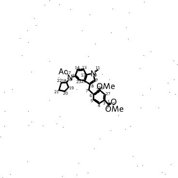 COC(=O)c1ccc(Cc2cn(C)c3ccc(N(C(C)=O)C4CCCC4)cc23)c(OC)c1